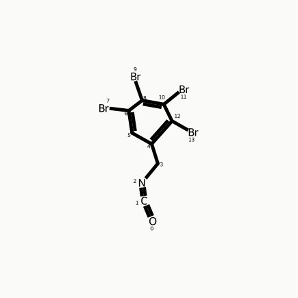 O=C=NCc1cc(Br)c(Br)c(Br)c1Br